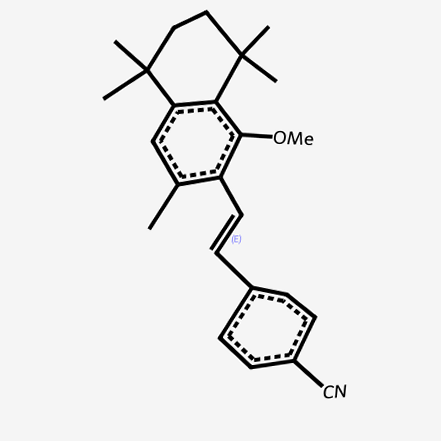 COc1c(/C=C/c2ccc(C#N)cc2)c(C)cc2c1C(C)(C)CCC2(C)C